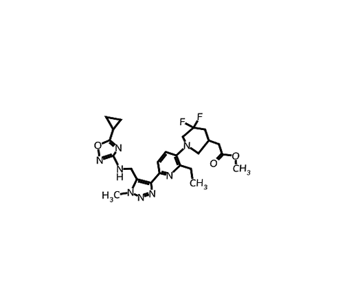 CCc1nc(-c2nnn(C)c2CNc2noc(C3CC3)n2)ccc1N1CC(CC(=O)OC)CC(F)(F)C1